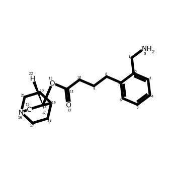 NCc1ccccc1CCCC(=O)O[C@H]1CN2CCC1CC2